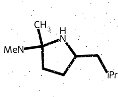 CNC1(C)CCC(CC(C)C)N1